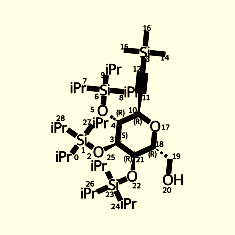 CC(C)[Si](O[C@H]1[C@H](O[Si](C(C)C)(C(C)C)C(C)C)[C@@H](C#C[Si](C)(C)C)O[C@H](CO)[C@H]1O[Si](C(C)C)(C(C)C)C(C)C)(C(C)C)C(C)C